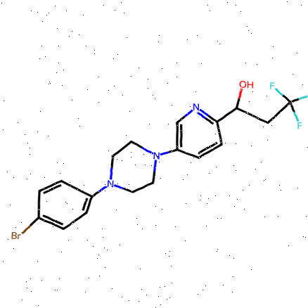 OC(CC(F)(F)F)c1ccc(N2CCN(c3ccc(Br)cc3)CC2)cn1